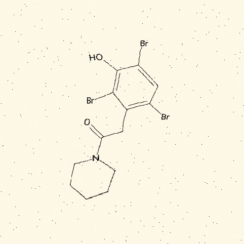 O=C(Cc1c(Br)cc(Br)c(O)c1Br)N1CCCCC1